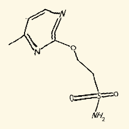 Cc1[c]cnc(OCCS(N)(=O)=O)n1